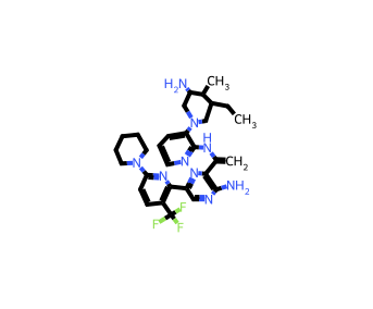 C=C(Nc1ncccc1N1CC(N)C(C)C(CC)C1)c1nc(-c2nc(N3CCCCC3)ccc2C(F)(F)F)cnc1N